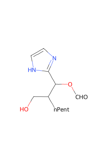 CCCCCC(CO)C(OC=O)c1ncc[nH]1